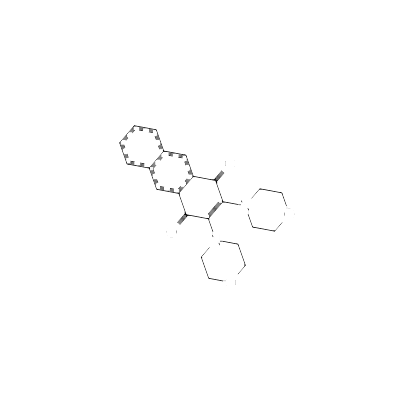 O=C1C(N2CCOCC2)=C(N2CCOCC2)C(=O)c2cc3ccccc3cc21